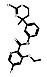 CCOc1cc(Cl)cnc1C(=O)Nc1cccc(C2(C)CCSC(N)=N2)c1